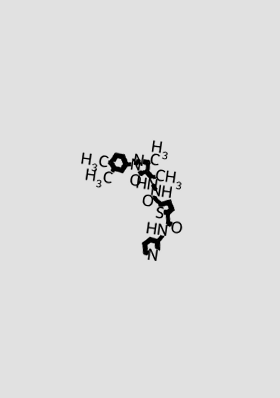 CC1=NN(c2ccc(C)c(C)c2)C(=O)/C1=C(/C)NNC(=O)c1ccc(C(=O)NCc2cccnc2)s1